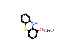 O=COc1cccc2c1Nc1ccccc1S2